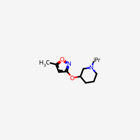 Cc1cc(OC2CCCN(C(C)C)C2)no1